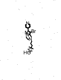 CC(C)(CCCN1CCn2nc(-c3ccncc3)c(Br)c2C1)[Si](C)(C)O